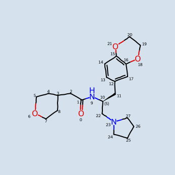 O=C(CC1CCOCC1)N[C@@H](Cc1ccc2c(c1)OCCO2)CN1CCCC1